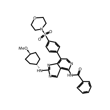 CO[C@H]1CC[C@H](Nc2ncc3c(NC(=O)c4ccccc4)ncc(-c4ccc(S(=O)(=O)N5CCOCC5)cc4)c3n2)CC1